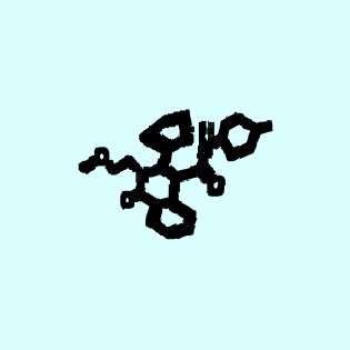 COCCN1C(=O)c2ccccc2C(C(=O)NC2CCC(C)CC2)C1c1cccs1